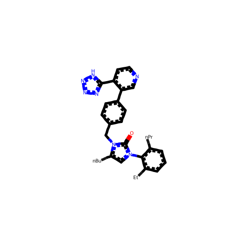 CCCCc1cn(-c2c(CC)cccc2CCC)c(=O)n1Cc1ccc(-c2cnccc2-c2nnn[nH]2)cc1